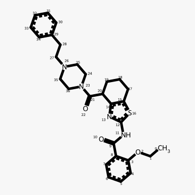 CCOc1ccccc1C(=O)Nc1nc2c(s1)CCCC2C(=O)N1CCN(CCc2ccccc2)CC1